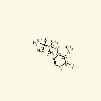 CO[C@@H]1[C@@H](C)OC=C[C@H]1O[Si](C)(C)C(C)(C)C